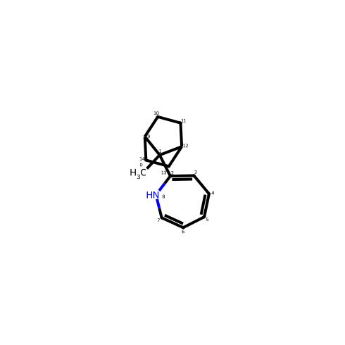 CC1(C2=CC=CC=CN2)C2CCC1CC2